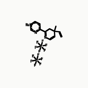 C=CC1(C)C=CN=C(c2ccccn2)C1.F[P-](F)(F)(F)(F)F.F[P-](F)(F)(F)(F)F.[Ru+2]